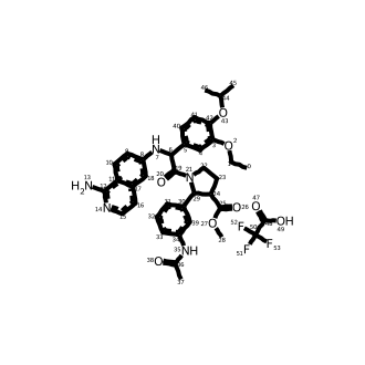 CCOc1cc(C(Nc2ccc3c(N)nccc3c2)C(=O)N2CCC(C(=O)OC)C2c2cccc(NC(C)=O)c2)ccc1OC(C)C.O=C(O)C(F)(F)F